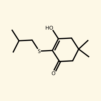 CC(C)CSC1=C(O)CC(C)(C)CC1=O